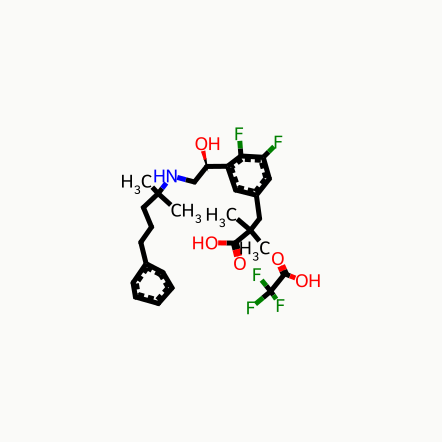 CC(C)(CCCc1ccccc1)NC[C@@H](O)c1cc(CC(C)(C)C(=O)O)cc(F)c1F.O=C(O)C(F)(F)F